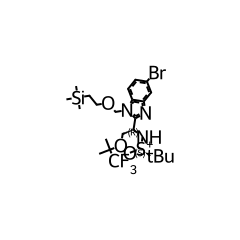 CC(C)(C)[S@@+]([O-])N[C@@H](COC(C)(C)C(F)(F)F)c1nc2cc(Br)ccc2n1COCC[Si](C)(C)C